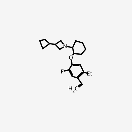 C=Cc1cc(F)c(OC2CCCCC2N2CC(C3CCC3)C2)cc1CC